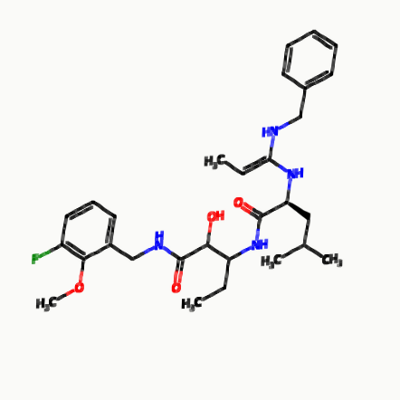 C/C=C(\NCc1ccccc1)N[C@@H](CC(C)C)C(=O)NC(CC)C(O)C(=O)NCc1cccc(F)c1OC